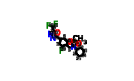 CS(=O)(=O)N(Cc1ccc(-c2nnc(C(F)F)o2)cc1F)C1CCCCC1